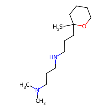 CN(C)CCCNCCCC1([SiH3])CCCCO1